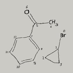 BrC1CC1.CC(=O)c1ccccc1